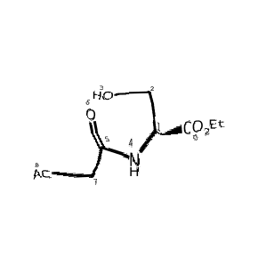 CCOC(=O)[C@H](CO)NC(=O)CC(C)=O